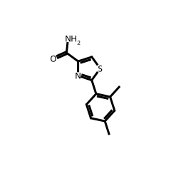 Cc1ccc(-c2nc(C(N)=O)cs2)c(C)c1